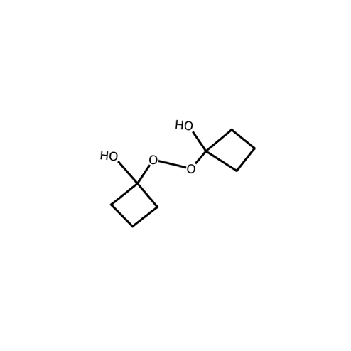 OC1(OOC2(O)CCC2)CCC1